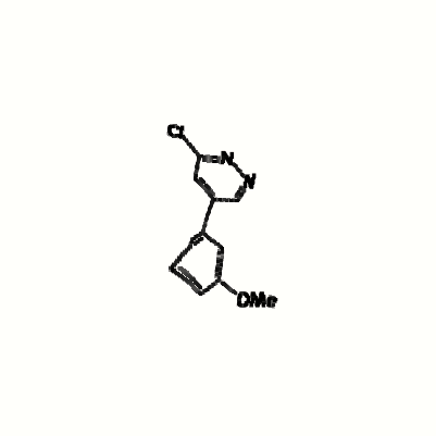 COc1cccc(-c2cnnc(Cl)c2)c1